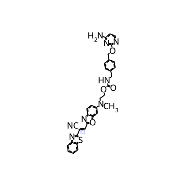 CN(CCOC(=O)NCc1ccc(COc2nccc(N)n2)cc1)c1ccc2nc(/C=C(\C#N)c3nc4ccccc4s3)oc2c1